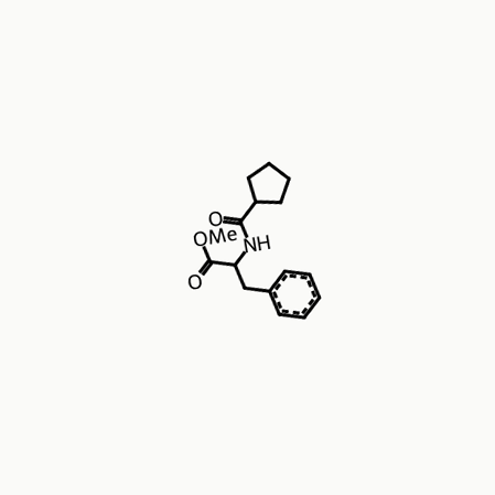 COC(=O)C(Cc1ccccc1)NC(=O)C1CCCC1